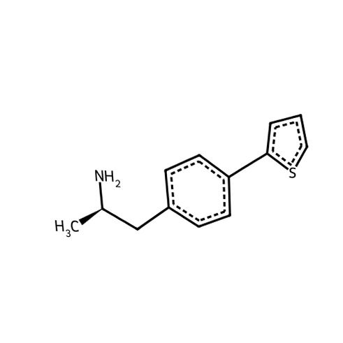 C[C@@H](N)Cc1ccc(-c2cccs2)cc1